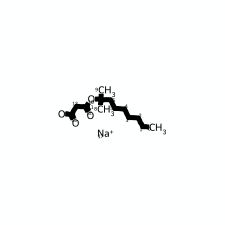 CCCCCCCC(C)(C)OC(=O)CC(=O)[O-].[Na+]